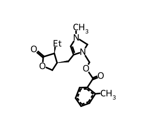 CC[C@@H]1C(=O)OC[C@@H]1CC1=CN(C)CN1COC(=O)c1ccccc1C